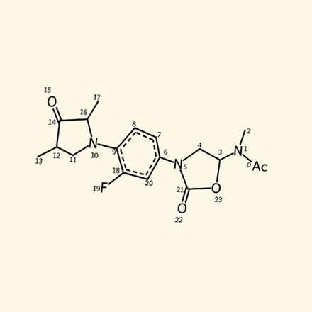 CC(=O)N(C)C1CN(c2ccc(N3CC(C)C(=O)C3C)c(F)c2)C(=O)O1